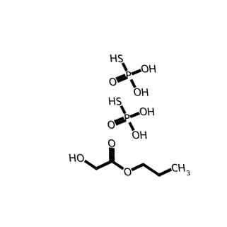 CCCOC(=O)CO.O=P(O)(O)S.O=P(O)(O)S